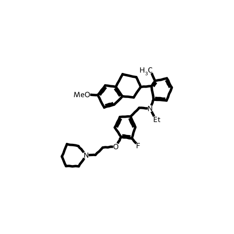 CCN(Cc1ccc(OCCN2CCCCC2)c(F)c1)c1cccc(C)c1C1CCc2cc(OC)ccc2C1